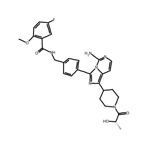 COc1ccc(F)cc1C(=O)NCc1ccc(-c2nc(C3CCN(C(=O)[C@H](C)O)CC3)c3ccnc(N)n23)cc1